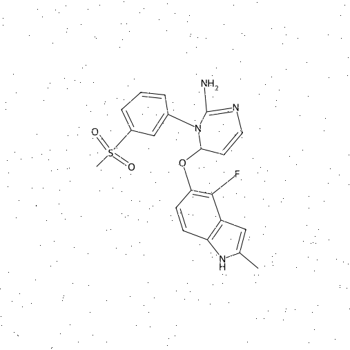 Cc1cc2c(F)c(OC3C=CN=C(N)N3c3cccc(S(C)(=O)=O)c3)ccc2[nH]1